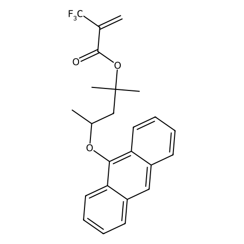 C=C(C(=O)OC(C)(C)CC(C)Oc1c2ccccc2cc2ccccc12)C(F)(F)F